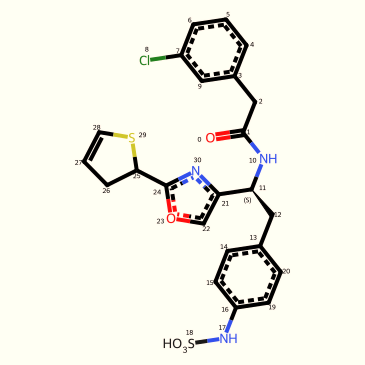 O=C(Cc1cccc(Cl)c1)N[C@@H](Cc1ccc(NS(=O)(=O)O)cc1)c1coc(C2CC=CS2)n1